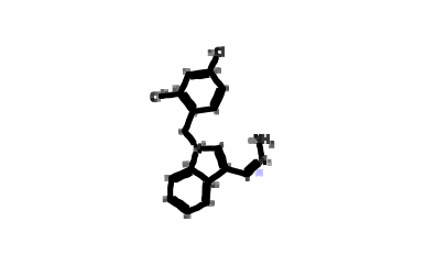 N/N=C\c1cn(Cc2ccc(Cl)cc2Cl)c2ccccc12